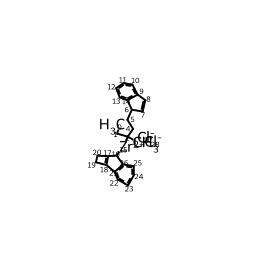 CC[C](C)(CCC1C=Cc2ccccc21)[Zr+2][CH]1C2=C(CC2)c2ccccc21.[Cl-].[Cl-]